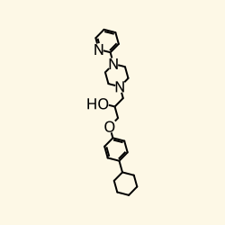 OC(COc1ccc(C2CCCCC2)cc1)CN1CCN(c2ccccn2)CC1